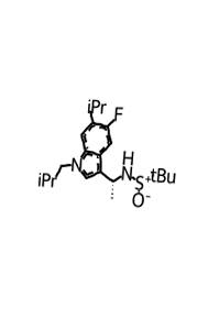 CC(C)Cn1cc([C@@H](C)N[S@@+]([O-])C(C)(C)C)c2cc(F)c(C(C)C)cc21